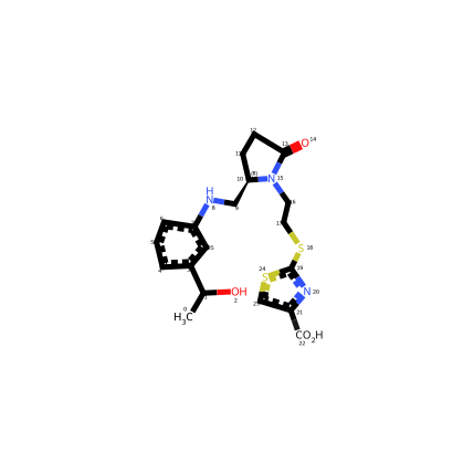 CC(O)c1cccc(NC[C@H]2CCC(=O)N2CCSc2nc(C(=O)O)cs2)c1